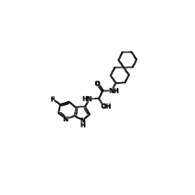 O=C(NC1CCC2(CCCCC2)CC1)C(O)Nc1c[nH]c2ncc(F)cc12